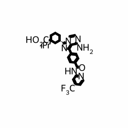 CC(C)[C@@]1(C(=O)O)CCC[C@H](c2nc(-c3ccc(C(=O)Nc4cc(C(F)(F)F)ccn4)cc3)c3c(N)nccn23)C1